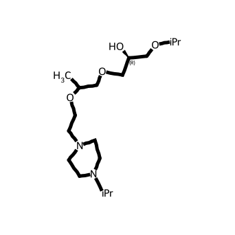 CC(C)OC[C@H](O)COCC(C)OCCN1CCN(C(C)C)CC1